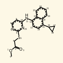 COC(=O)CSc1nccc(Nc2ccc(C3CC3)c3ccccc23)n1